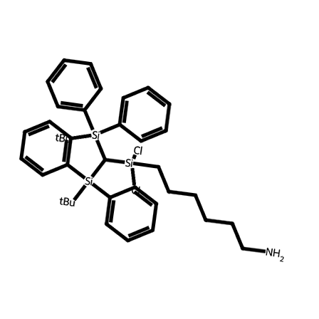 CC(C)(C)[Si](c1ccccc1)(c1ccccc1)C([Si](Cl)(Cl)CCCCCCN)[Si](c1ccccc1)(c1ccccc1)C(C)(C)C